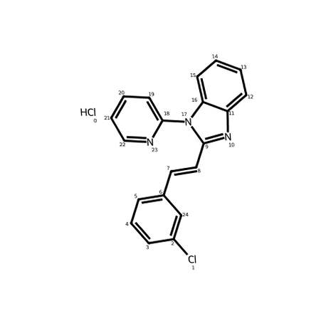 Cl.Clc1cccc(C=Cc2nc3ccccc3n2-c2ccccn2)c1